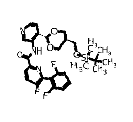 CC(C)(C)[Si](C)(C)OC[C@H]1CO[C@H](c2ccncc2NC(=O)c2ccc(F)c(-c3c(F)cccc3F)n2)OC1